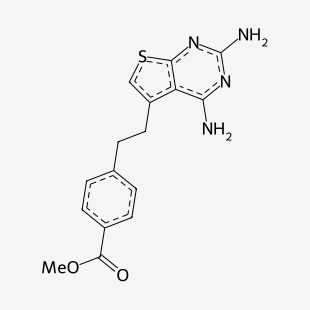 COC(=O)c1ccc(CCc2csc3nc(N)nc(N)c23)cc1